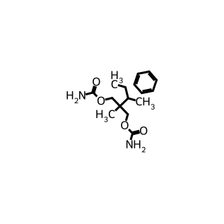 CCC(C)C(C)(COC(N)=O)COC(N)=O.c1ccccc1